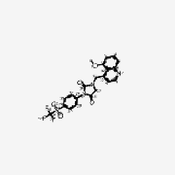 COc1cccc2nccc(CN3CC(=O)N(c4ccc(S(=O)(=O)C(F)(F)F)cc4)C3=O)c12